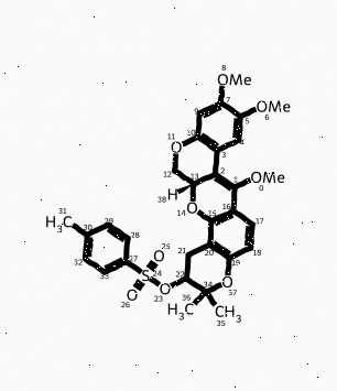 COC1=C2c3cc(OC)c(OC)cc3OC[C@H]2Oc2c1ccc1c2CC(OS(=O)(=O)c2ccc(C)cc2)C(C)(C)O1